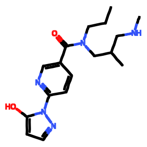 CCCN(CC(C)CNC)C(=O)c1ccc(-n2nccc2O)nc1